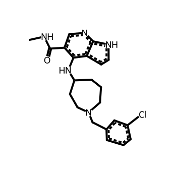 CNC(=O)c1cnc2[nH]ccc2c1NC1CCCN(Cc2cccc(Cl)c2)CC1